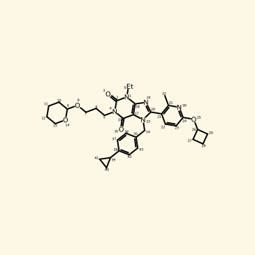 CCn1c(=O)n(CCCOC2CCCCO2)c(=O)c2c1nc(-c1ccc(OC3CCC3)nc1C)n2Cc1ccc(C2CC2)cc1